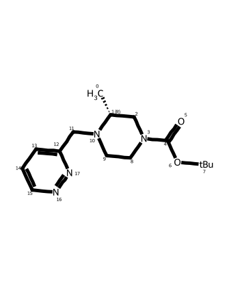 C[C@@H]1CN(C(=O)OC(C)(C)C)CCN1Cc1cccnn1